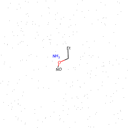 CCCON=O.N